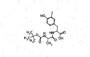 CC(NC(=O)OC(C)(C)C)C(=O)NC(Cc1ccc(O)c(I)c1)C(=O)O